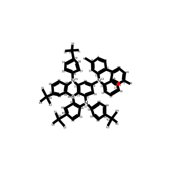 Cc1ccc(-c2ccc(C)cc2N(c2ccccc2)c2cc3c4c(c2)N(c2ccc(C(C)(C)C)cc2)c2ccc(C(C)(C)C)cc2B4c2cc(C(C)(C)C)ccc2N3c2ccc(C(C)(C)C)cc2)cc1